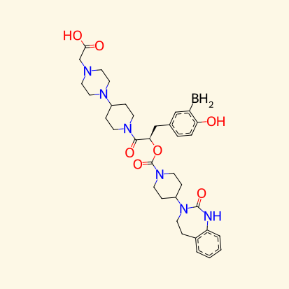 Bc1cc(C[C@@H](OC(=O)N2CCC(N3CCc4ccccc4NC3=O)CC2)C(=O)N2CCC(N3CCN(CC(=O)O)CC3)CC2)ccc1O